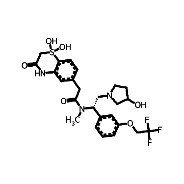 CN(C(=O)Cc1ccc2c(c1)NC(=O)CS2(O)O)[C@H](CN1CCC(O)C1)c1cccc(OCC(F)(F)F)c1